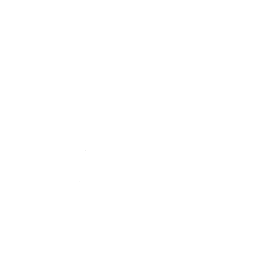 C=C(C)C(=O)Oc1c(C)cc(Oc2c(C)cc(Oc3c(C)cc(Oc4c(C)cc(C(C)(C)c5cc(C)c(Oc6cc(C)c(Oc7cc(C)c(Oc8cc(C)c(OC(=O)C(=C)C)c(C)c8)c(C)c7)c(C)c6)c(C)c5)cc4C)cc3C)cc2C)cc1C